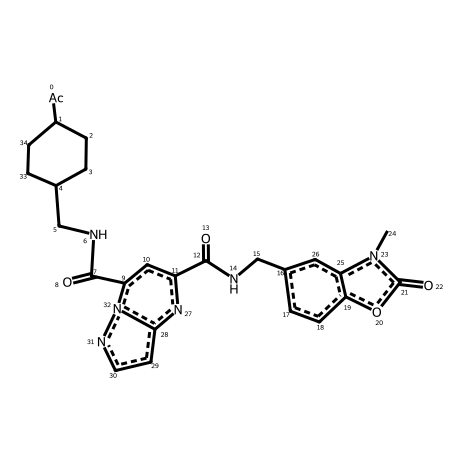 CC(=O)C1CCC(CNC(=O)c2cc(C(=O)NCc3ccc4oc(=O)n(C)c4c3)nc3ccnn23)CC1